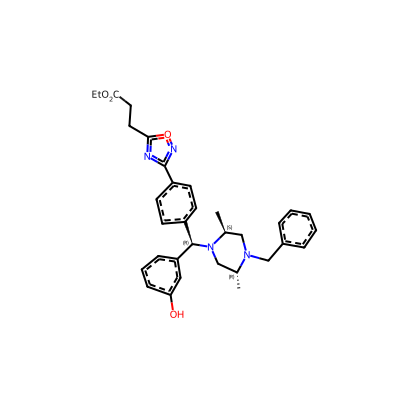 CCOC(=O)CCc1nc(-c2ccc([C@H](c3cccc(O)c3)N3C[C@@H](C)N(Cc4ccccc4)C[C@@H]3C)cc2)no1